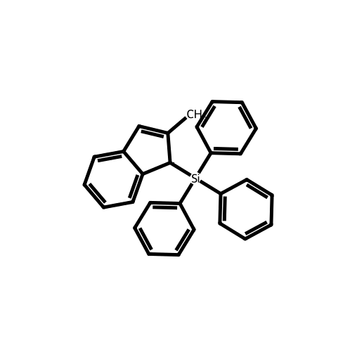 CC1=Cc2ccccc2[C]1[Si](c1ccccc1)(c1ccccc1)c1ccccc1